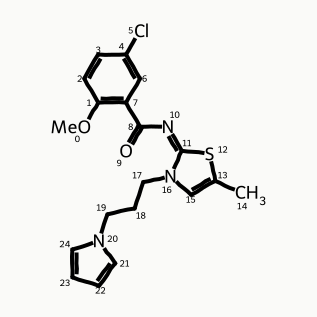 COc1ccc(Cl)cc1C(=O)N=c1sc(C)cn1CCCn1cccc1